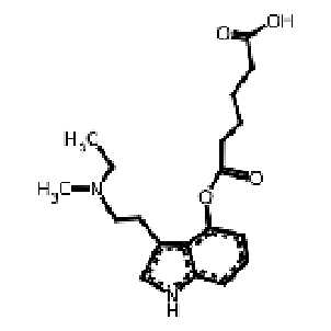 CCN(C)CCc1c[nH]c2cccc(OC(=O)CCCCC(=O)O)c12